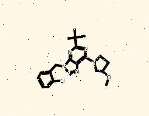 COC1CCN(c2nc(C(C)(C)C)nc3c2nnn3Cc2ccccc2Cl)C1